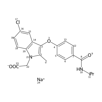 Cc1c(Oc2ccc(C(=O)NC(C)C)cc2)c2cc(Cl)ccc2n1CC(=O)[O-].[Na+]